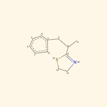 CC(Cc1ccccc1)C1=NCCS1